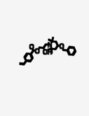 C=Cc1ccc(C(=O)OCC(O)CN2C(C)(C)CC(OCc3ccccc3)CC2(C)C)cc1